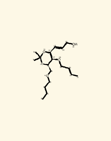 CCCCOC[C@H]1OC(C)(C)O[C@@H](/C=C/CO)[C@H]1OCCCC